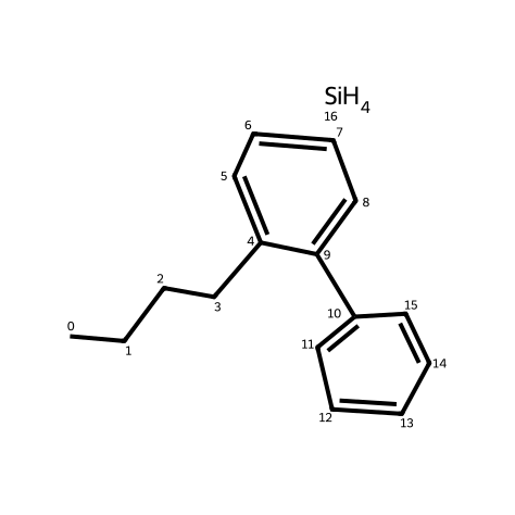 CCCCc1ccccc1-c1ccccc1.[SiH4]